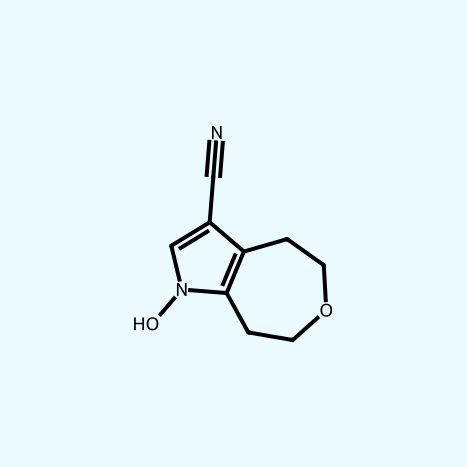 N#Cc1cn(O)c2c1CCOCC2